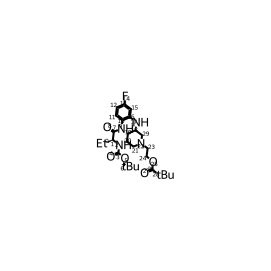 CC[C@H](NC(=O)OC(C)(C)C)C(=O)Nc1ccc(F)cc1N[C@@H]1CCCN(CCOC(=O)C(C)(C)C)C1